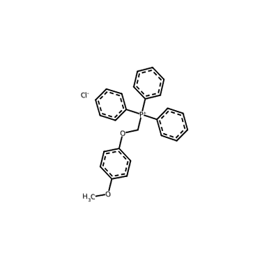 COc1ccc(OC[P+](c2ccccc2)(c2ccccc2)c2ccccc2)cc1.[Cl-]